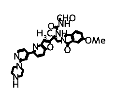 COc1ccc2c(c1)C(=O)N(C[C@](C)(NC(=O)NC=O)c1cc3nc(-c4ccnc(N5CCNCC5)c4)ccc3o1)C2